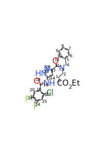 CCOC(=O)CCN(Cc1ccccc1)C(=O)c1cc(NC(=O)c2cc(F)c(F)cc2Cl)[nH]n1